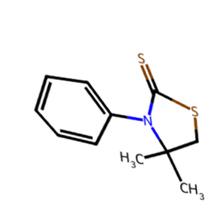 CC1(C)CSC(=S)N1c1ccccc1